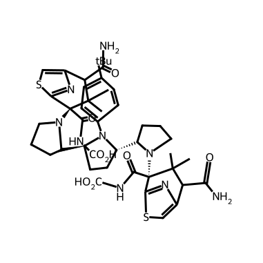 CC(C)(C)c1ccc(N2[C@H](C3CCCN3[C@@]3(C(=O)NC(=O)O)c4nc(cs4)C(C(N)=O)C3(C)C)CC[C@H]2C2CCCN2[C@@]2(C(=O)NC(=O)O)c3nc(cs3)C(C(N)=O)C2(C)C)cc1